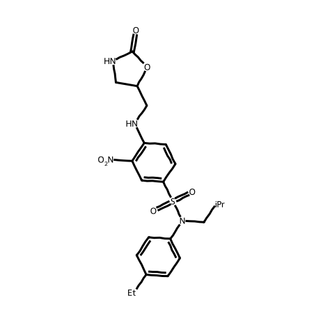 CCc1ccc(N(CC(C)C)S(=O)(=O)c2ccc(NCC3CNC(=O)O3)c([N+](=O)[O-])c2)cc1